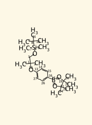 CC(C)(CO[Si](C)(C)C(C)(C)C)Oc1ccc(B2OC(C)(C)C(C)(C)O2)cc1